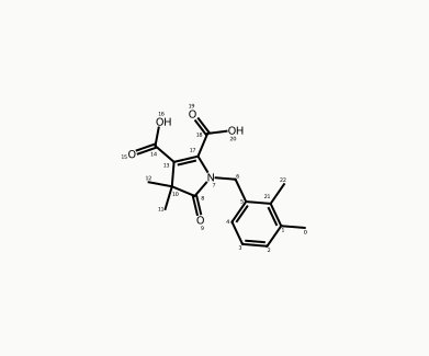 Cc1cccc(CN2C(=O)C(C)(C)C(C(=O)O)=C2C(=O)O)c1C